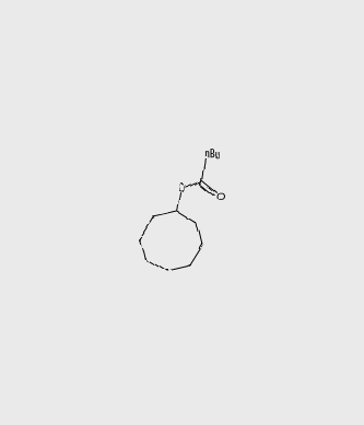 CCCCC(=O)OC1CCCCCCC1